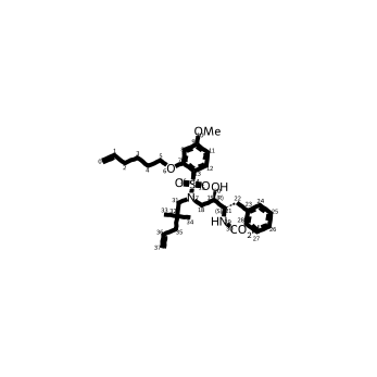 C=CCCCCOc1cc(OC)ccc1S(=O)(=O)N(C[C@@H](O)[C@H](Cc1ccccc1)NC(=O)O)CC(C)(C)CC=C